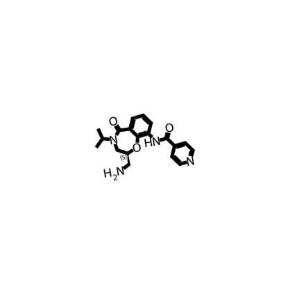 CC(C)N1C[C@H](CN)Oc2c(NC(=O)c3ccncc3)cccc2C1=O